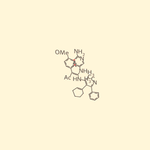 C/N=C(\C(C1=CCCCC1)=C(/C)N/C(Nc1cnc(N)cn1)=C(\C(C)=O)c1ccc(OC)cc1)c1ccccc1